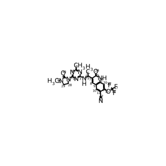 Cc1nc(N[C@@H](C)c2cc3cc(C#N)c(OC(F)(F)F)cc3[nH]c2=O)nc(N2CCN(C)C2=O)n1